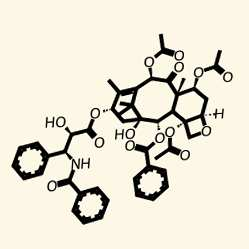 CC(=O)O[C@H]1C(=O)[C@@]2(C)C([C@H](OC(=O)c3ccccc3)[C@]3(O)C[C@H](OC(=O)[C@H](O)[C@@H](NC(=O)c4ccccc4)c4ccccc4)C(C)=C1C3(C)C)[C@]1(OC(C)=O)CO[C@@H]1C[C@@H]2OC(C)=O